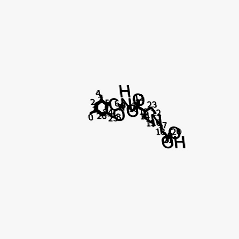 Cc1cc(C)c(CC(=O)NOC(=O)C2CCN(CCC(=O)O)CC2)c(C)c1